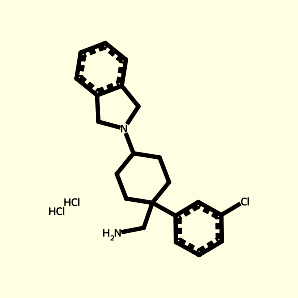 Cl.Cl.NCC1(c2cccc(Cl)c2)CCC(N2Cc3ccccc3C2)CC1